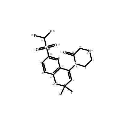 CC1(C)C=C(N2CCNCC2=O)c2cc(S(=O)(=O)C(F)F)ccc2O1